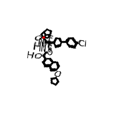 NC1CC2CCC(C1)C2C(=O)[C@@H](NC(=O)[C@@H](O)c1ccc2cc(OC3CCCC3)ccc2c1)C(F)(F)c1ccc(-c2ccc(Cl)cc2)cc1